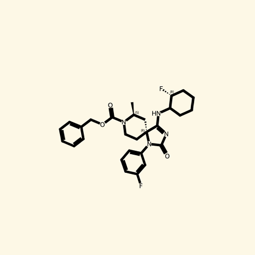 C[C@H]1C[C@]2(CCN1C(=O)OCc1ccccc1)C(NC1CCCC[C@H]1F)=NC(=O)N2c1cccc(F)c1